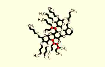 CCCCOCC1OCCC(OC2OC(COCCCC)C(OC3OC(COCCCC)C(OCCCC)C(OCCCC)C3OCCCC)C(OCCCC)C2OCCCC)C1OC1OC(C)C(OCCCC)C(OCCCC)C1OCCCC